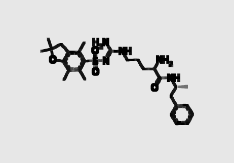 Cc1c(C)c(S(=O)(=O)/N=C(\N)NCCCC(N)C(=O)N[C@H](C)Cc2ccccc2)c(C)c2c1OC(C)(C)C2